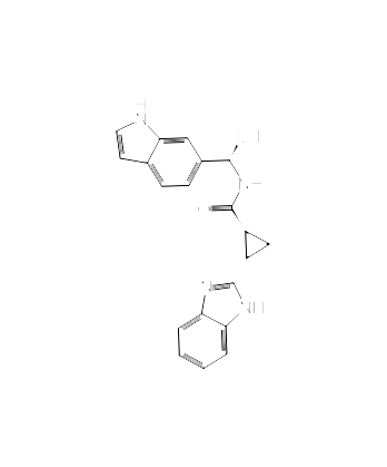 C[C@@H](NC(=O)[C@H]1C[C@@H]1c1nc2ccccc2[nH]1)c1ccc2cc[nH]c2c1